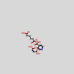 O=C(O)/C=C\C(=O)O.O=C(O)CCCCC(=O)O.O=C(O)c1ccncc1